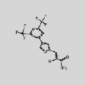 NC(=O)/C(Br)=C/n1cc(-c2cc(C(F)(F)F)cc(C(F)(F)F)c2)cn1